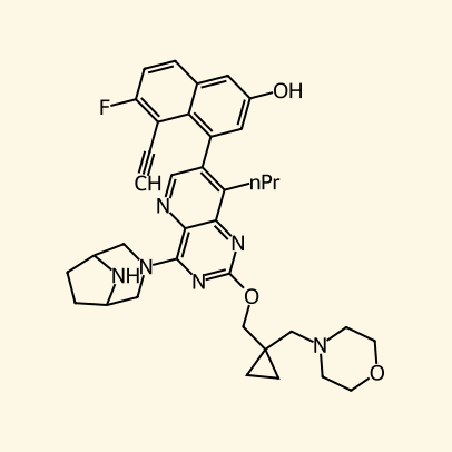 C#Cc1c(F)ccc2cc(O)cc(-c3cnc4c(N5CC6CCC(C5)N6)nc(OCC5(CN6CCOCC6)CC5)nc4c3CCC)c12